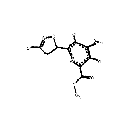 COC(=O)c1nc(C2CC(Cl)=NO2)c(Cl)c(N)c1Cl